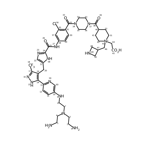 NCCN(CCN)CCNc1ccc(-c2[nH]nc(C(F)(F)F)c2Cc2cnc(C(=O)Nc3ccc(C(=O)N4CCN(C(=O)C5CC[N+](CC(=O)O)(CC6CNC6)CC5)CC4)c(Cl)c3)[nH]2)nc1